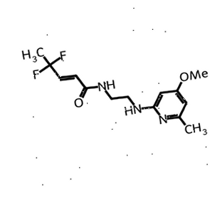 COc1cc(C)nc(NCCNC(=O)C=CC(C)(F)F)c1